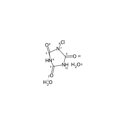 O.O.O=c1[nH]c(=O)n(Cl)c(=O)[nH]1